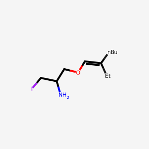 CCCC/C(=C/OCC(N)CI)CC